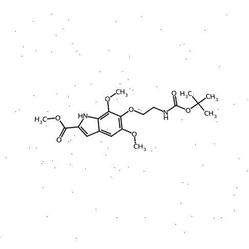 COC(=O)c1cc2cc(OC)c(OCCNC(=O)OC(C)(C)C)c(OC)c2[nH]1